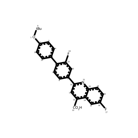 CC(C)(C)Oc1ccc(-c2ccc(-c3cc(C(=O)O)c4cc(F)ccc4n3)cc2F)cc1